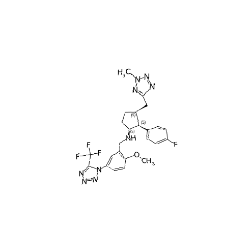 COc1ccc(-n2nnnc2C(F)(F)F)cc1CN[C@H]1CC[C@@H](Cc2nnn(C)n2)[C@H]1c1ccc(F)cc1